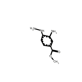 COC(=O)c1ccc(NN)c(N)c1